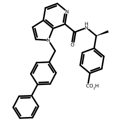 C[C@H](NC(=O)c1nccc2ccn(Cc3ccc(-c4ccccc4)cc3)c12)c1ccc(C(=O)O)cc1